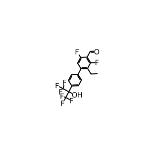 CCc1c(-c2ccc(C(O)(C(F)(F)F)C(F)(F)F)cc2)cc(F)c(C=O)c1F